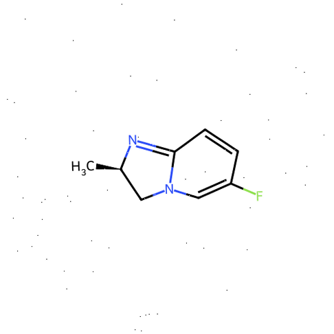 C[C@@H]1CN2C=C(F)C=CC2=N1